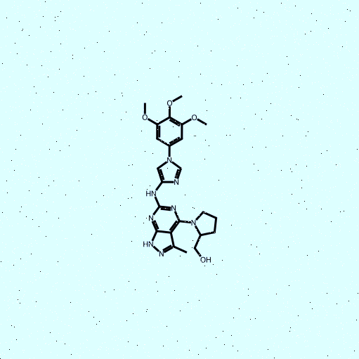 COc1cc(-n2cnc(Nc3nc(N4CCCC4CO)c4c(C)n[nH]c4n3)c2)cc(OC)c1OC